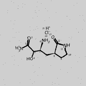 NC(=O)C(O)[C@@H](N)C[C@@H]1CCNC1=O.[Cl-].[H+]